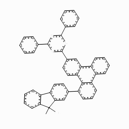 CC1(C)c2ccccc2-c2ccc(-c3cccc4c5ccccc5c5cc(-c6nc(-c7ccccc7)nc(-c7ccccc7)n6)ccc5c34)cc21